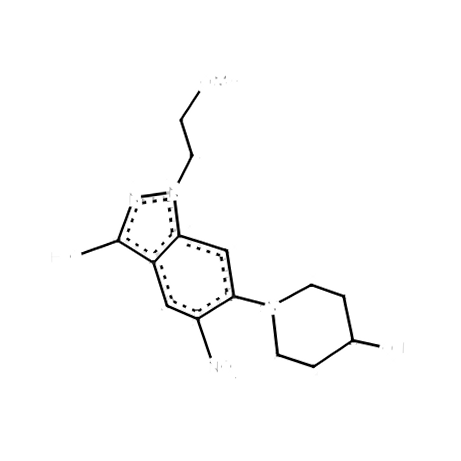 COCCn1nc(C)c2cc([N+](=O)[O-])c(N3CCC(O)CC3)cc21